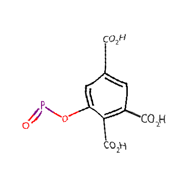 O=POc1cc(C(=O)O)cc(C(=O)O)c1C(=O)O